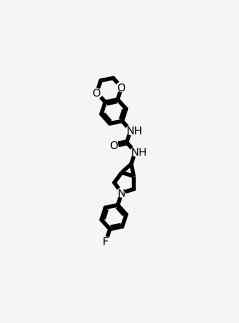 O=C(Nc1ccc2c(c1)OCCO2)NC1C2CN(c3ccc(F)cc3)CC21